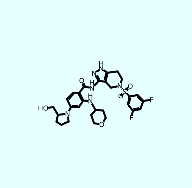 O=C(Nc1n[nH]c2c1CN(S(=O)(=O)c1cc(F)cc(F)c1)CC2)c1ccc(N2CCCC2CO)cc1NC1CCOCC1